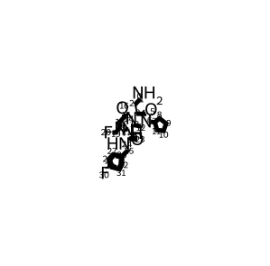 NCC[C@H]1C(=O)N(C2CCCC2)C[C@H]2N1C(=O)CN(CF)N2C(=O)NCc1ccc(F)cc1